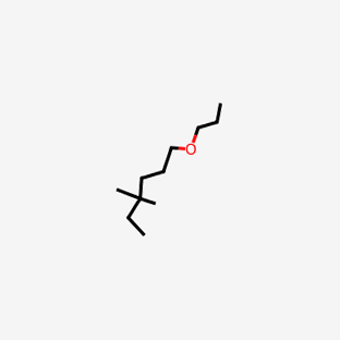 CCCOCCCC(C)(C)CC